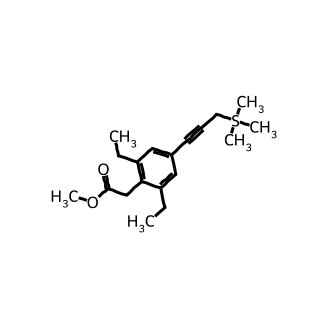 CCc1cc(C#CCS(C)(C)C)cc(CC)c1CC(=O)OC